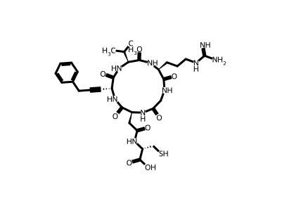 CC(C)[C@@H]1NC(=O)[C@@H](C#CCc2ccccc2)NC(=O)[C@H](CC(=O)N[C@H](CS)C(=O)O)NC(=O)CNC(=O)[C@H](CCCNC(=N)N)NC1=O